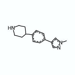 Cn1cc(-c2ccc(C3CCNCC3)cc2)cn1